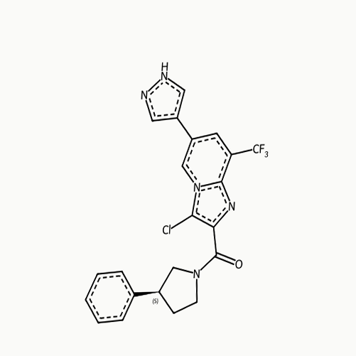 O=C(c1nc2c(C(F)(F)F)cc(-c3cn[nH]c3)cn2c1Cl)N1CC[C@@H](c2ccccc2)C1